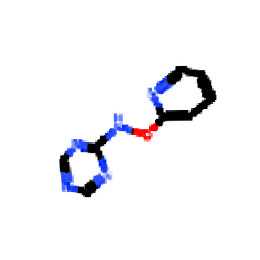 c1ccc(ONc2ncncn2)nc1